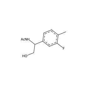 CC(=O)NC(CO)c1ccc(C)c(F)c1